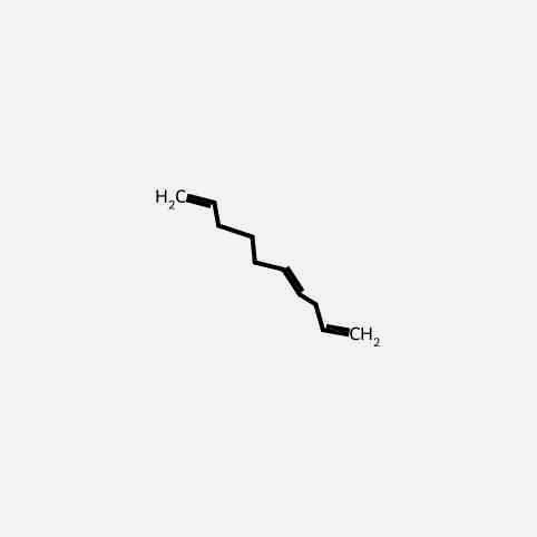 C=CC/C=C/CCCC=C